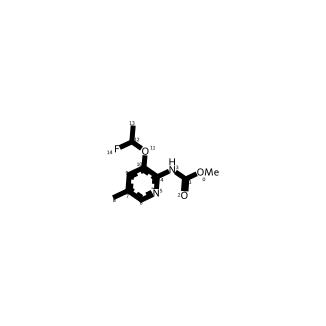 COC(=O)Nc1ncc(C)cc1OC(C)F